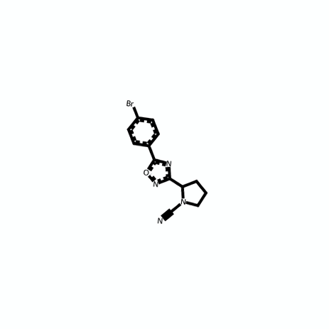 N#CN1CCCC1c1noc(-c2ccc(Br)cc2)n1